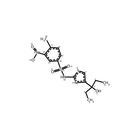 CCC(O)(CC)c1csc(NS(=O)(=O)c2ccc(C)c([N+](=O)[O-])c2)n1